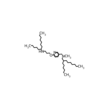 CCCCCCCC(CCCCCC)CN(C)Cc1ccc(OCCCNC(CCCCC)CCCCCCC)nc1